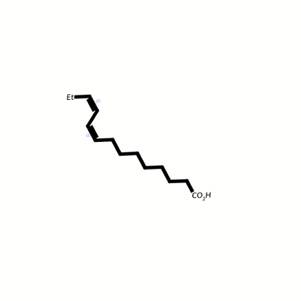 CC/C=C\C=C/CCCCCCCC(=O)O